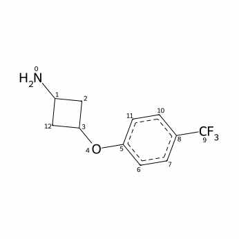 NC1CC(Oc2ccc(C(F)(F)F)cc2)C1